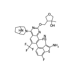 CC1(O)COCC1COc1nc(N2CC3CCC(C2)N3)c2cc(C(F)(F)F)c(-c3ccc(F)c4sc(N)c(C#N)c34)c(F)c2n1